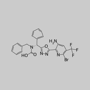 Nc1cc(C(F)(F)F)c(Br)nc1-c1nnc([C@@H](c2ccccc2)N(Cc2ccccc2)C(=O)O)o1